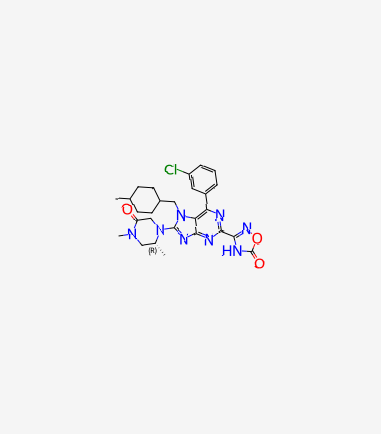 CC1CCC(Cn2c(N3CC(=O)N(C)C[C@H]3C)nc3nc(-c4noc(=O)[nH]4)nc(-c4cccc(Cl)c4)c32)CC1